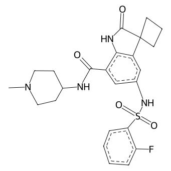 CN1CCC(NC(=O)c2cc(NS(=O)(=O)c3ccccc3F)cc3c2NC(=O)C32CCC2)CC1